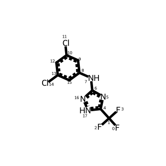 FC(F)(F)c1nc(Nc2cc(Cl)cc(Cl)c2)n[nH]1